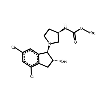 CC(C)(C)OC(=O)N[C@@H]1CCN([C@@H]2c3cc(Cl)cc(Cl)c3C[C@H]2O)C1